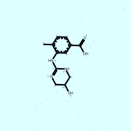 Cc1ccc(C(=O)O)cc1NC1=NCC(O)CN1